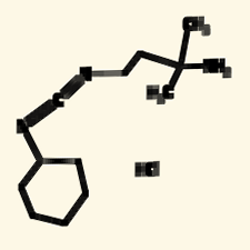 CC(C)(N)CCN=C=NC1CCCCC1.Cl